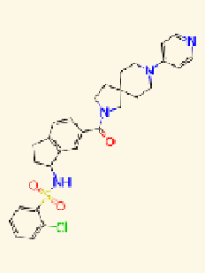 O=C(c1ccc2c(c1)C(NS(=O)(=O)c1ccccc1Cl)CC2)N1CCC2(CCN(c3ccncc3)CC2)C1